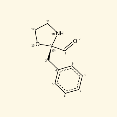 O=C[C@@]1(Cc2ccccc2)NCCO1